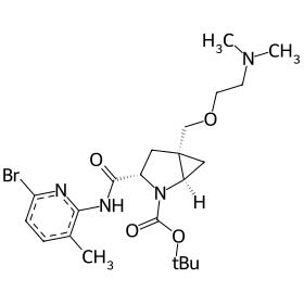 Cc1ccc(Br)nc1NC(=O)[C@@H]1C[C@@]2(COCCN(C)C)C[C@H]2N1C(=O)OC(C)(C)C